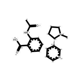 CC(=O)Nc1ccccc1C(=O)O.CN1CCC[C@H]1c1cccnc1